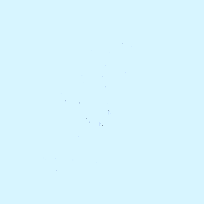 Cc1cccc(-c2oc(-c3nn(Cc4ccc(C(C)(F)F)o4)nc3C(N)=O)nc2C(=O)O)c1